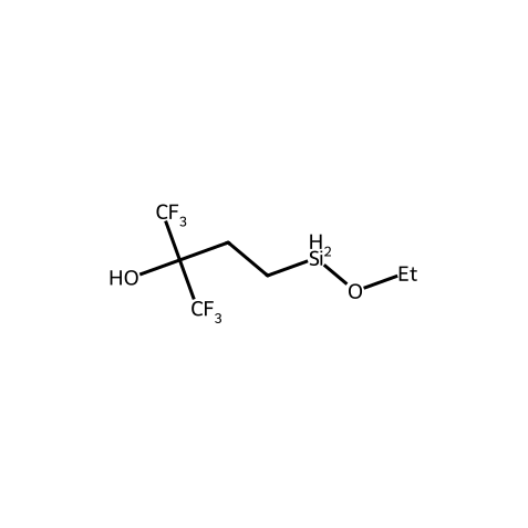 CCO[SiH2]CCC(O)(C(F)(F)F)C(F)(F)F